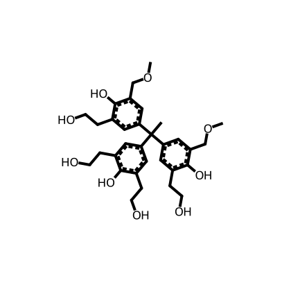 COCc1cc(C(C)(c2cc(CCO)c(O)c(CCO)c2)c2cc(CCO)c(O)c(COC)c2)cc(CCO)c1O